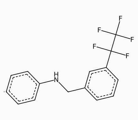 FC(F)(F)C(F)(F)c1cccc(CNc2cc[c]cc2)c1